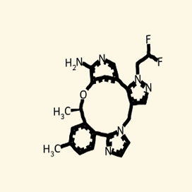 Cc1ccc2c(c1)[C@@H](C)Oc1cc(cnc1N)-c1c(cnn1CC(F)F)Cn1ccnc1-2